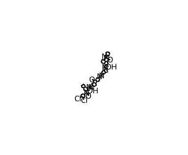 Cc1cc(N=Nc2ccc3c(c2)C(=O)c2cc(N=Nc4c(O)c(N(C=O)c5ccc(Cl)c(Cl)c5)cc5ccccc45)ccc2-3)ccc1N=Nc1c(O)cc2c(=O)n3c4ccccc4nc3c3cccc1c23